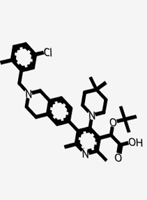 Cc1ccc(Cl)cc1CN1CCc2cc(-c3c(C)nc(C)c(C(OC(C)(C)C)C(=O)O)c3N3CCC(C)(C)CC3)ccc2C1